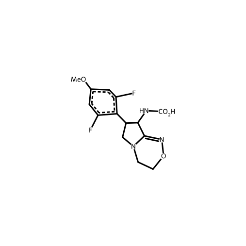 COc1cc(F)c(C2CN3CCON=C3C2NC(=O)O)c(F)c1